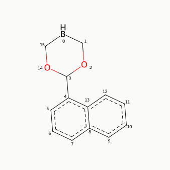 B1COC(c2cccc3ccccc23)OC1